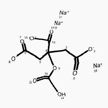 O=C([O-])CC(CC(=O)[O-])(OC(=O)O)C(=O)[O-].[Na+].[Na+].[Na+]